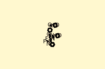 O=C([C@H]1CC[C@H](Oc2cc(-n3c(C(F)F)nc4ccccc43)nc(N3CCOCC3)n2)CC1)N1CCOCC1